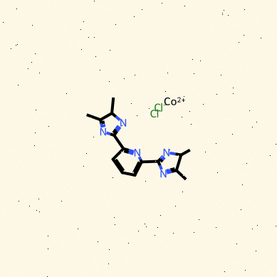 CC1=NC(c2cccc(C3=NC(C)C(C)=N3)n2)=NC1C.[Cl-].[Cl-].[Co+2]